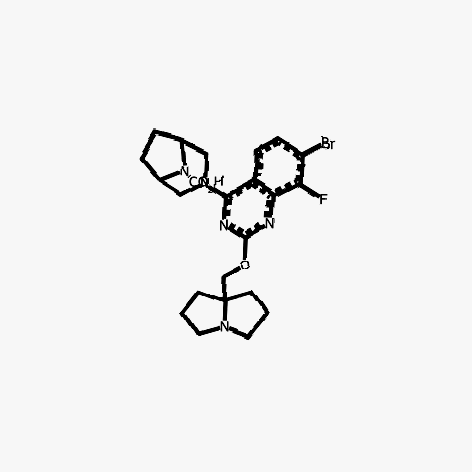 O=C(O)N1C2CCC1CN(c1nc(OCC34CCCN3CCC4)nc3c(F)c(Br)ccc13)C2